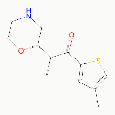 Cc1csc(C(=O)C(C)C2CNCCO2)c1